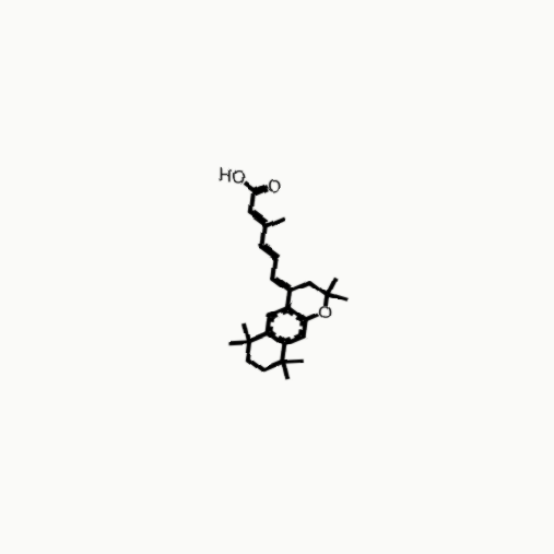 CC(/C=C/C=C1\CC(C)(C)Oc2cc3c(cc21)C(C)(C)CCC3(C)C)=C\C(=O)O